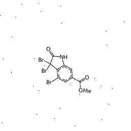 COC(=O)c1cc(Br)c2c(c1)NC(=O)C2(Br)Br